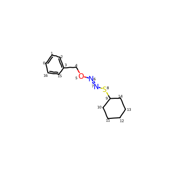 c1ccc(CON=NSC2CCCCC2)cc1